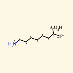 CC(C)C(CCCCCCN)C(=O)O